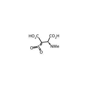 CN[C@H](C(=O)O)C(C(=O)O)=S(=O)=O